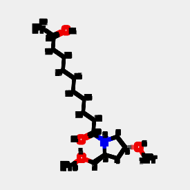 CC(C)OC[C@@H]1C[C@@H](OC(C)C)CN1C(=O)CCCCCCCCC(=O)C(C)C